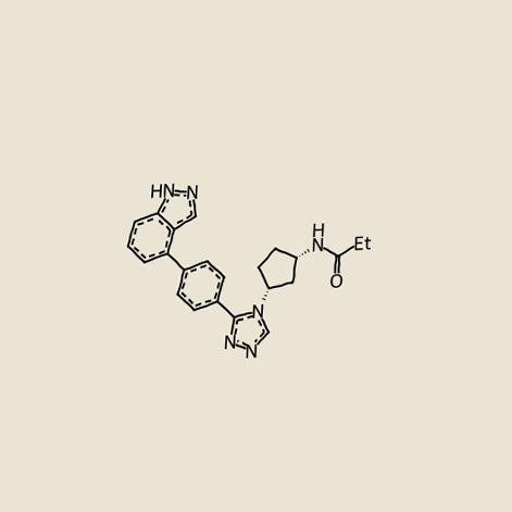 CCC(=O)N[C@H]1CC[C@@H](n2cnnc2-c2ccc(-c3cccc4[nH]ncc34)cc2)C1